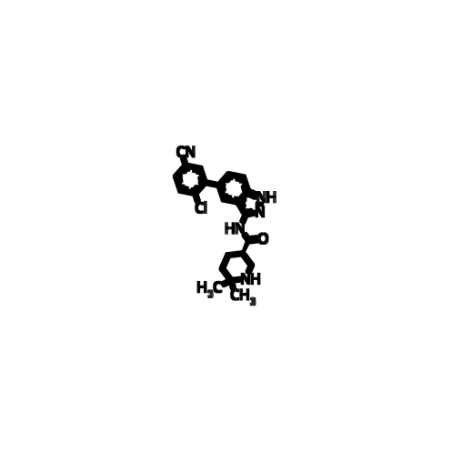 CC1(C)CC[C@@H](C(=O)Nc2n[nH]c3ccc(-c4cc(C#N)ccc4Cl)cc23)CN1